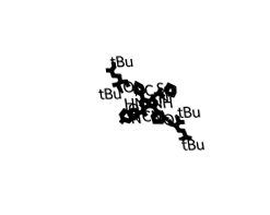 Cc1ccc2oc(/C(C#N)=c3\[nH]c(-c4cccc(OCC(CCC(C)CC(C)(C)C)C(C)CC(C)(C)C)c4)c4/c(=C(\C#N)c5nc6ccccc6s5)[nH]c(-c5cccc(OCC(CCC(C)CC(C)(C)C)C(C)CC(C)(C)C)c5)c34)nc2c1